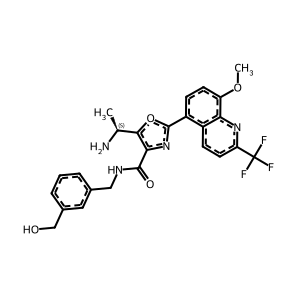 COc1ccc(-c2nc(C(=O)NCc3cccc(CO)c3)c([C@H](C)N)o2)c2ccc(C(F)(F)F)nc12